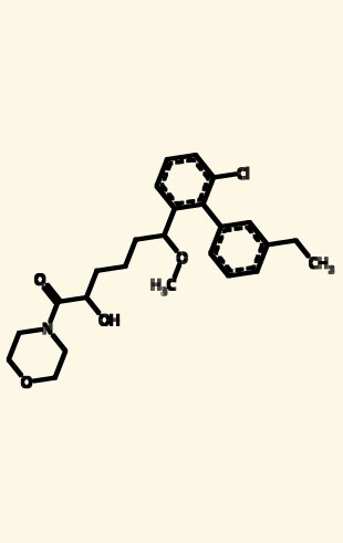 CCc1cccc(-c2c(Cl)cccc2C(CCCC(O)C(=O)N2CCOCC2)OC)c1